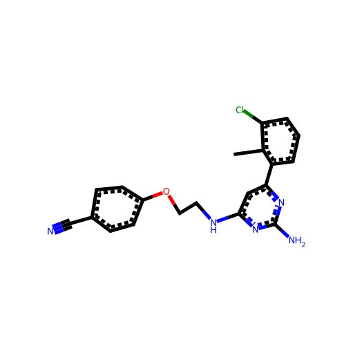 Cc1c(Cl)cccc1-c1cc(NCCOc2ccc(C#N)cc2)nc(N)n1